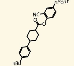 CCCCCc1ccc(OC(=O)C2CCC(c3ccc(CCCC)cc3)CC2)c(C#N)c1